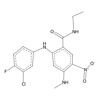 CCNC(=O)c1cc([N+](=O)[O-])c(NC)cc1Nc1ccc(F)c(Cl)c1